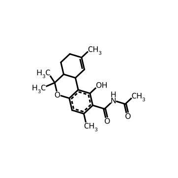 CC(=O)NC(=O)c1c(C)cc2c(c1O)C1C=C(C)CCC1C(C)(C)O2